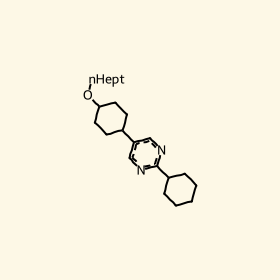 CCCCCCCOC1CCC(c2cnc(C3CCCCC3)nc2)CC1